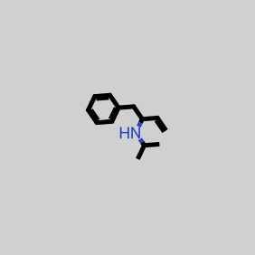 C=CC(Cc1ccccc1)NC(C)C